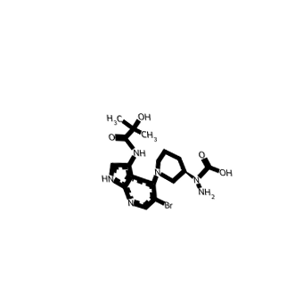 CC(C)(O)C(=O)Nc1c[nH]c2ncc(Br)c(N3CCC[C@@H](N(N)C(=O)O)C3)c12